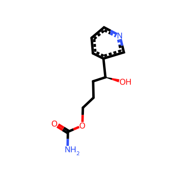 NC(=O)OCCC[C@H](O)c1cccnc1